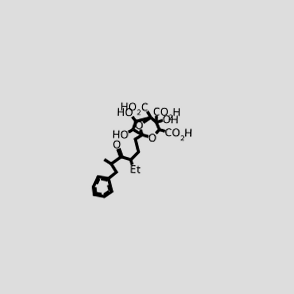 CCC(CCC12OC(C(=O)O)C(O)(C(=O)O)C(C(=O)O)(O1)C(O)C2O)C(=O)C(C)Cc1ccccc1